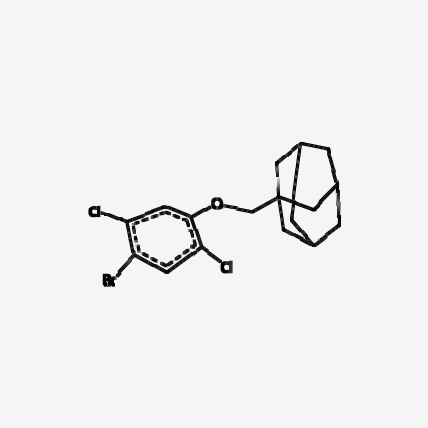 Clc1cc(OCC23CC4CC(CC(C4)C2)C3)c(Cl)cc1Br